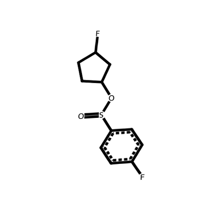 O=S(OC1CCC(F)C1)c1ccc(F)cc1